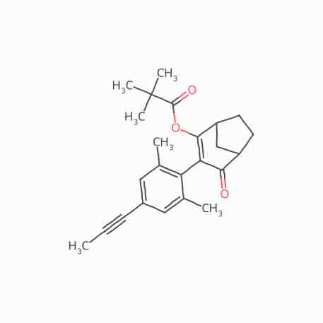 CC#Cc1cc(C)c(C2=C(OC(=O)C(C)(C)C)C3CCC(C3)C2=O)c(C)c1